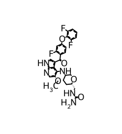 COc1cnc2[nH]cc(C(=O)c3ccc(Oc4c(F)cccc4F)cc3F)c2c1N[C@@H]1CC[C@@H](CNC(N)=O)OC1